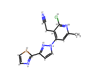 Cc1cc(-n2ccc(-c3nccs3)n2)c(CC#N)c(Cl)n1